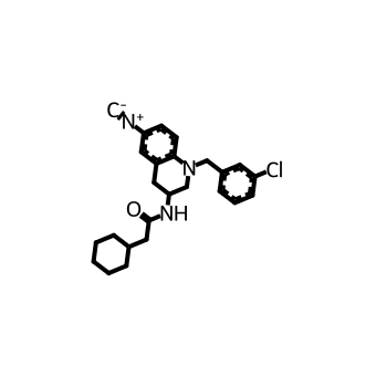 [C-]#[N+]c1ccc2c(c1)CC(NC(=O)CC1CCCCC1)CN2Cc1cccc(Cl)c1